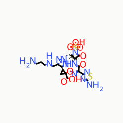 NCCCNCc1cnn(C[C@H]2[C@H](NC(=O)C(=NOC3(C(=O)O)CC3)c3nsc(N)n3)C(=O)N2S(=O)(=O)O)n1